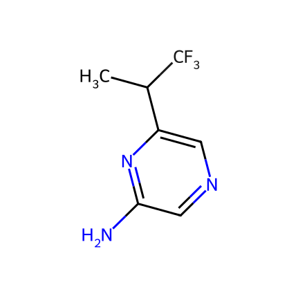 CC(c1cncc(N)n1)C(F)(F)F